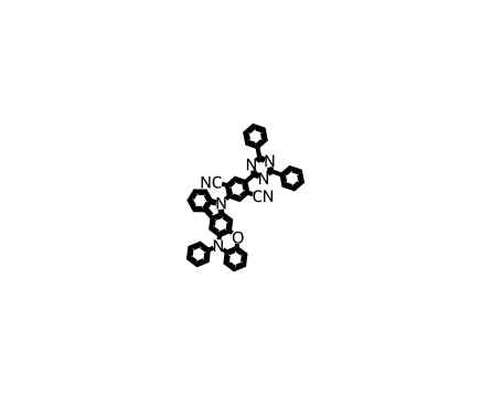 N#Cc1cc(-n2c3ccccc3c3cc4c(cc32)Oc2ccccc2N4c2ccccc2)c(C#N)cc1-c1nc(-c2ccccc2)nc(-c2ccccc2)n1